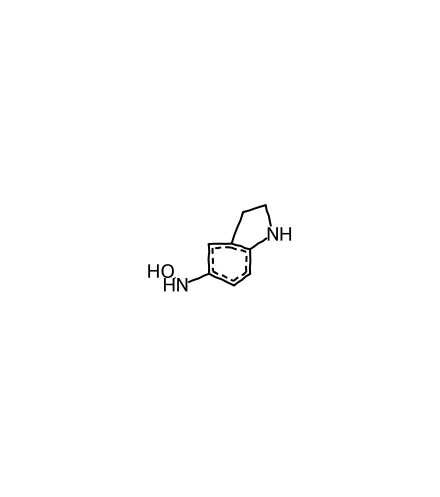 ONc1ccc2c(c1)CCN2